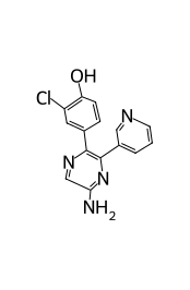 Nc1cnc(-c2ccc(O)c(Cl)c2)c(-c2cccnc2)n1